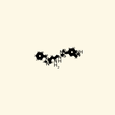 NC(CNc1nnc(-c2ccc3[nH]ncc3c2)s1)Cc1cncn1Cc1ccccc1